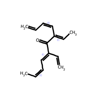 C=C/C=C\C(=C/C)C(=O)/C(C=C)=C/C=C\C